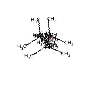 CCCCCCCCCCCCCO[PH](O)(OCCCCCCCCCCCCC)c1cc(C)c(C(C)CC(c2cc(C(C)(C)C)c([PH](O)(OCCCCCCCCCCCCC)OCCCCCCCCCCCCC)cc2C)c2cc(C(C)(C)C)c([PH](O)(OCCCCCCCCCCCCC)OCCCCCCCCCCCCC)cc2C)cc1C(C)(C)C